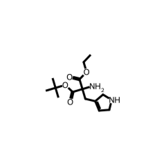 CCOC(=O)C(N)(CC1=CCNC1)C(=O)OC(C)(C)C